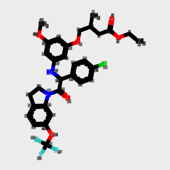 CCOC(=O)CC(C)COc1cc(NC(C(=O)N2CCc3ccc(OC(F)(F)F)cc32)c2ccc(Cl)cc2)cc(OC)c1